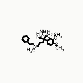 COc1ccc(C(C#N)(CCCN(C)CCc2ccccc2)C(C)C)cc1OC.N